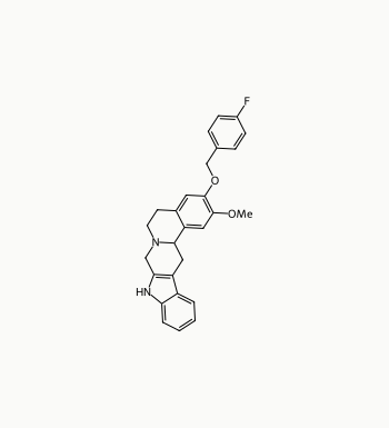 COc1cc2c(cc1OCc1ccc(F)cc1)CCN1Cc3[nH]c4ccccc4c3CC21